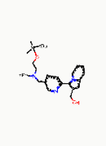 CCCN(CCO[Si](C)(C)C(C)(C)C)Cc1ccc(-c2c(CO)cc3ccccn23)nc1